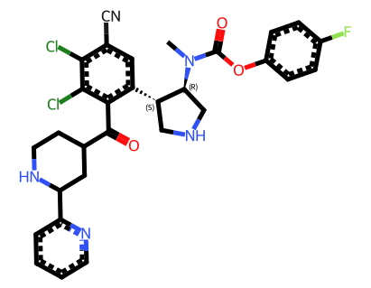 CN(C(=O)Oc1ccc(F)cc1)[C@H]1CNC[C@@H]1c1cc(C#N)c(Cl)c(Cl)c1C(=O)C1CCNC(c2ccccn2)C1